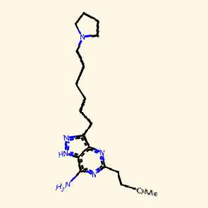 COCCc1nc(N)c2[nH]nc(CCCCCCN3CCCC3)c2n1